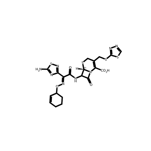 Nc1nc(C(=NOC2C=CCCC2)C(=O)NC2C(=O)N3C(C(=O)O)=C(CSc4nncs4)CS[C@@H]23)ns1